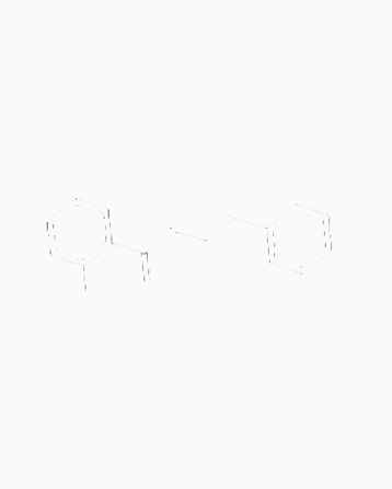 Cc1ccccc1C(=O)NC=Cc1ccccc1